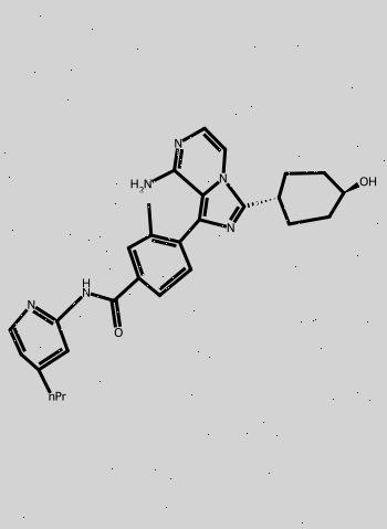 CCCc1ccnc(NC(=O)c2ccc(-c3nc([C@H]4CC[C@H](O)CC4)n4ccnc(N)c34)c(C)c2)c1